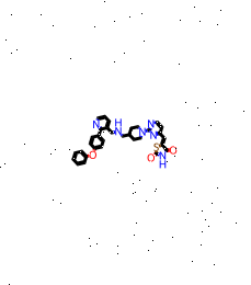 O=C1NC(=O)C(=Cc2ccnc(N3CCC(CNCc4cccnc4-c4ccc(Oc5ccccc5)cc4)CC3)n2)S1